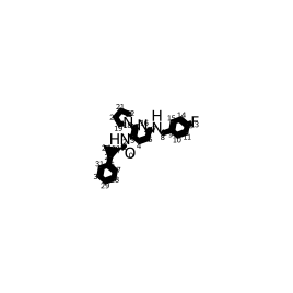 O=C(Nc1ccc(NCc2ccc(F)cc2)nc1N1CCCC1)[C@@H]1CC1c1ccccc1